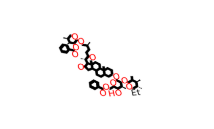 CCC1O[C@@H](OC2[C@H](OC3CCC4(C)C(CCC5C4CCC4(C)C5CC(=O)C4[C@H](C)C(=O)CC[C@H](C)CO[C@@H]4OC[C@H](C)[C@H](C)C4OC(=O)c4ccccc4)C3)OC(COC(=O)c3ccccc3)[C@H](O)[C@@H]2C)C(C)[C@@H](C)[C@@H]1C